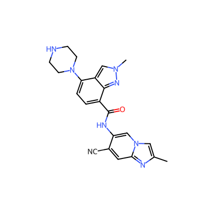 Cc1cn2cc(NC(=O)c3ccc(N4CCNCC4)c4cn(C)nc34)c(C#N)cc2n1